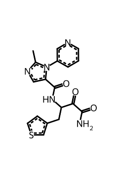 Cc1ncc(C(=O)NC(Cc2ccsc2)C(=O)C(N)=O)n1-c1cccnc1